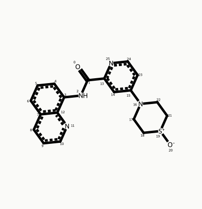 O=C(Nc1cccc2cccnc12)c1cc(N2CC[S+]([O-])CC2)ccn1